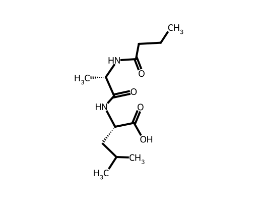 CCCC(=O)N[C@@H](C)C(=O)N[C@@H](CC(C)C)C(=O)O